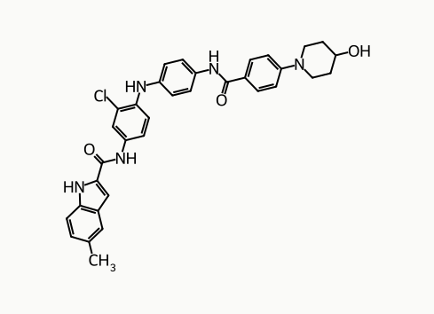 Cc1ccc2[nH]c(C(=O)Nc3ccc(Nc4ccc(NC(=O)c5ccc(N6CCC(O)CC6)cc5)cc4)c(Cl)c3)cc2c1